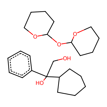 C1CCC(OC2CCCCO2)OC1.OCC(O)(c1ccccc1)C1CCCCC1